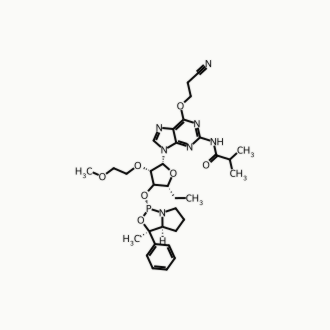 CC[C@H]1O[C@@H](n2cnc3c(OCCC#N)nc(NC(=O)C(C)C)nc32)[C@@H](OCCOC)C1O[P@@]1O[C@](C)(c2ccccc2)[C@@H]2CCCN21